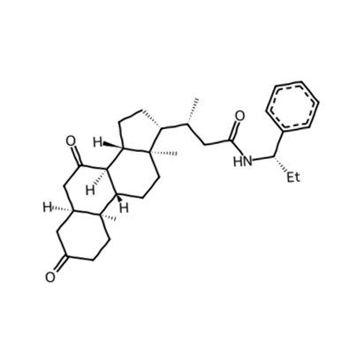 CC[C@H](NC(=O)C[C@@H](C)[C@H]1CC[C@H]2[C@@H]3C(=O)C[C@@H]4CC(=O)CC[C@]4(C)[C@H]3CC[C@]12C)c1ccccc1